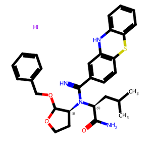 CC(C)C[C@@H](C(N)=O)N(C(=N)c1ccc2c(c1)Nc1ccccc1S2)[C@H]1CCOC1OCc1ccccc1.I